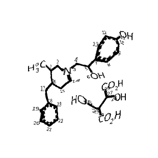 CC1CN(CC(O)c2ccc(O)cc2)CCC1Cc1ccccc1.O=C(O)C(O)C(O)C(=O)O